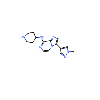 Cn1cc(-c2cnc3c(NC4CCNCC4)nccn23)cn1